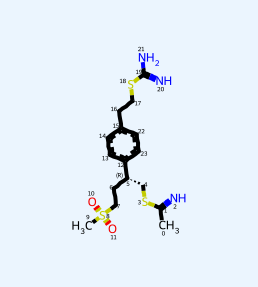 CC(=N)SC[C@H](CCS(C)(=O)=O)c1ccc(CCSC(=N)N)cc1